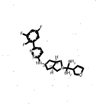 BC(B)(C1CCOC1)N1C[C@H]2C[C@H](Nc3ccc(-c4cc(F)cc(F)c4F)nn3)C[C@H]2C1